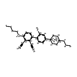 CCCCOc1ccc(-c2ccc(C34CCC(CCC)(CC3)CC4)cc2F)c(C#N)c1C#N